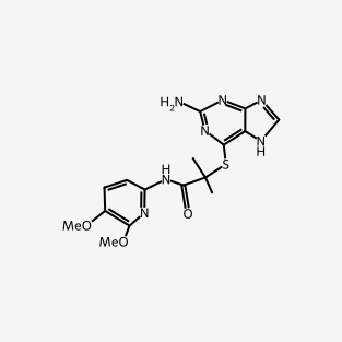 COc1ccc(NC(=O)C(C)(C)Sc2nc(N)nc3nc[nH]c23)nc1OC